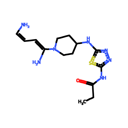 CCC(=O)Nc1nnc(NC2CCN(/C(N)=C/C=C\N)CC2)s1